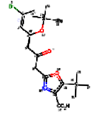 C/C(Br)=C\[C@H](CC(=O)Cc1nc(C(=O)O)c([Si](C)(C)C)o1)O[Si](C)(C)C(C)(C)C